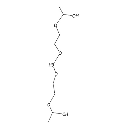 CC(O)OCCOBOCCOC(C)O